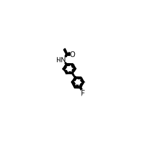 CC(=O)Nc1[c]cc(-c2ccc(F)cc2)cc1